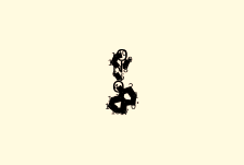 [CH]1C=CC(OCCN2CCOCC2)c2ccccc21